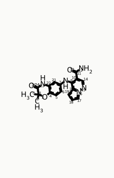 CC1(C)Oc2ccc(Nc3c(C(N)=O)cnn4cccc34)cc2NC1=O